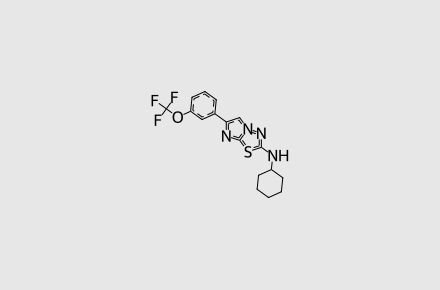 FC(F)(F)Oc1cccc(-c2cn3nc(NC4CCCCC4)sc3n2)c1